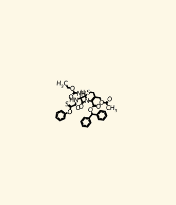 CCOC(=O)N[C@@]1(NC(=O)C(=S)Oc2ccccc2)C(=O)N2C(C(=O)OC(c3ccccc3)c3ccccc3)=C(COC(C)=O)CS[C@@H]21